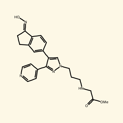 COC(=O)CNCCCn1cc(-c2ccc3c(c2)CC/C3=N\O)c(-c2ccncc2)n1